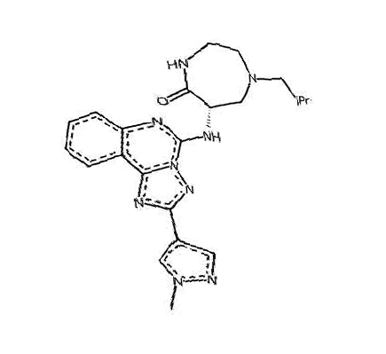 C[C](C)CN1CCNC(=O)[C@@H](Nc2nc3ccccc3c3nc(-c4cnn(C)c4)nn23)C1